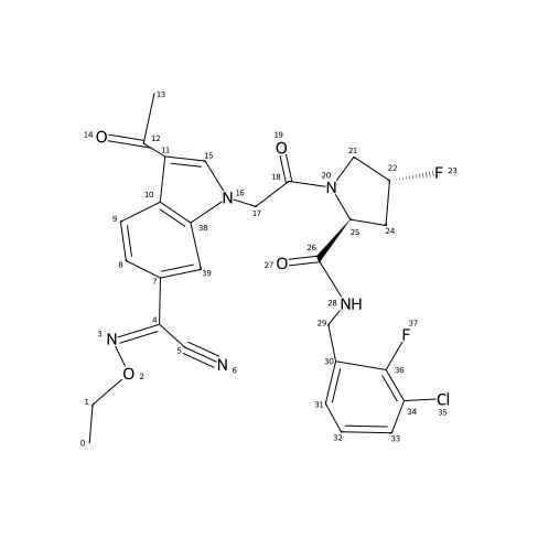 CCO/N=C(\C#N)c1ccc2c(C(C)=O)cn(CC(=O)N3C[C@H](F)C[C@H]3C(=O)NCc3cccc(Cl)c3F)c2c1